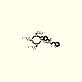 CC(Cc1ccccc1)NC(=O)c1ccc(CC2CN(CC(=O)O)CCN(CC(=O)O)CCN(CC(=O)O)CCN2CC(=O)O)cc1